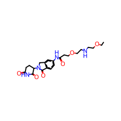 CCOCCNCCOCCC(=O)Nc1ccc2c(c1)CN(C1CCC(=O)NC1=O)C2=O